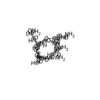 CC[C@H](C)[C@@H]1NC(=O)[C@H](Cc2ccc(O)cc2)NC(=O)[C@@H](NC(C)=O)CSCC(=O)N[C@@H](C(=O)NCCNC(=O)CSC[C@H](N)C(=O)O)CCCNC(=O)CSC[C@@H](C(=O)N2CCC[C@H]2C(=O)N[C@@H](C)C(=O)NCC(N)=O)NC(=O)[C@H](CC(N)=O)NC(=O)[C@H](CCC(N)=O)NC1=O